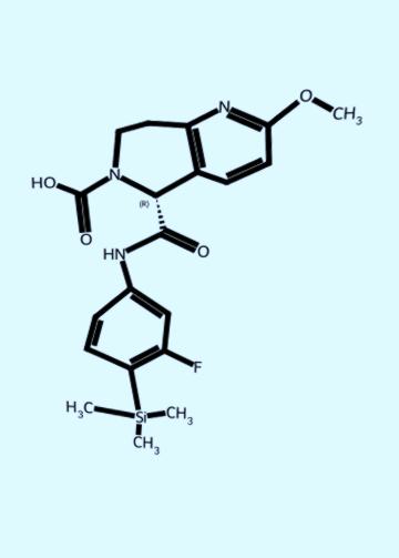 COc1ccc2c(n1)CCN(C(=O)O)[C@H]2C(=O)Nc1ccc([Si](C)(C)C)c(F)c1